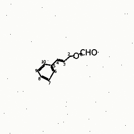 O=[C]OCC=Cc1ccccc1